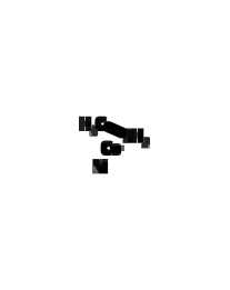 BC.[Co].[Ni]